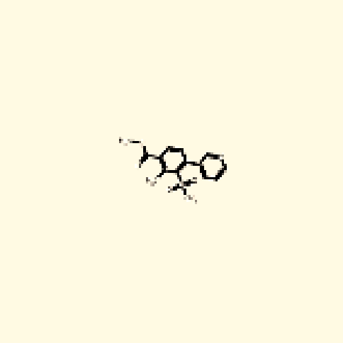 COC(=O)c1ccc(-c2cccnc2)c(S(C)(=O)=O)c1C